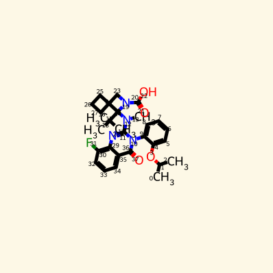 CC(C)Oc1ccccc1-n1c(N(C)C2(C(C)(C)C)N(C(=O)O)CC23CCC3)nc2c(F)cccc2c1=O